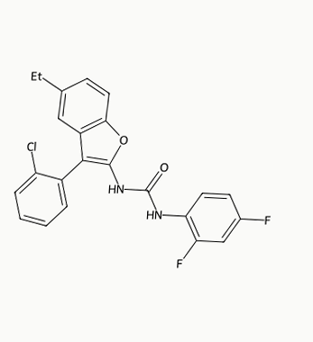 CCc1ccc2oc(NC(=O)Nc3ccc(F)cc3F)c(-c3ccccc3Cl)c2c1